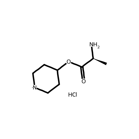 C[C@H](N)C(=O)OC1CC[N]CC1.Cl